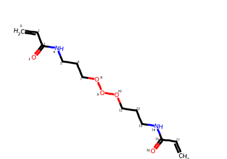 C=CC(=O)NCCCOOOCCCNC(=O)C=C